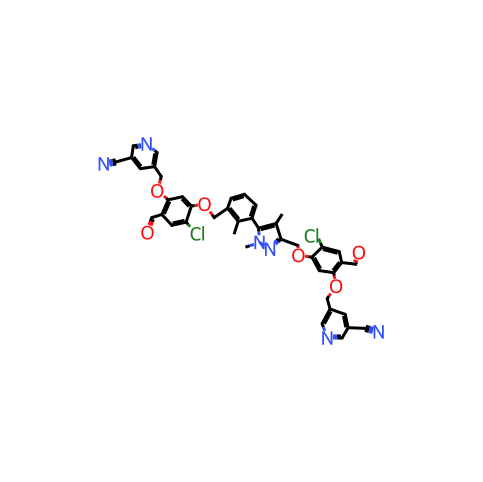 Cc1c(COc2cc(OCc3cncc(C#N)c3)c(C=O)cc2Cl)cccc1-c1c(C)c(COc2cc(OCc3cncc(C#N)c3)c(C=O)cc2Cl)nn1C